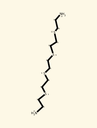 NCCSCCSCCSCCSCCN